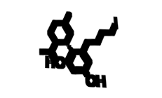 C=C(C)C1CCC(C)=C[C@@H]1c1c(O)cc(O)cc1CCCCI